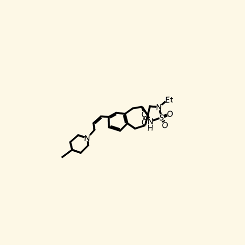 CCN1CC2(NS1(=O)=O)C1CCC2Cc2cc(/C=C\CN3CCC(C)CC3)ccc2C1